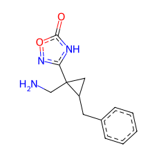 NCC1(c2noc(=O)[nH]2)CC1Cc1ccccc1